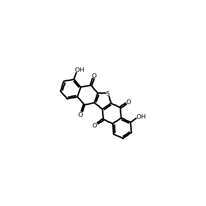 O=c1c2sc3c(=O)c4c(O)cccc4c(=O)c3c2c(=O)c2cccc(O)c12